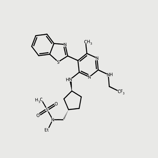 CCN(C[C@H]1CC[C@H](Nc2nc(NCC(F)(F)F)nc(C)c2-c2nc3ccccc3s2)C1)S(C)(=O)=O